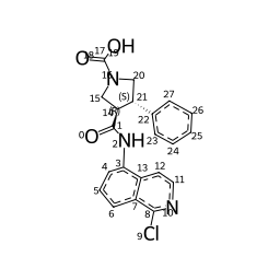 O=C(Nc1cccc2c(Cl)nccc12)[C@H]1CN(C(=O)O)C[C@@H]1c1ccccc1